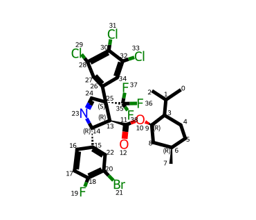 CC(C)C1CC[C@@H](C)C[C@H]1OC(=O)[C@H]1[C@H](c2ccc(F)c(Br)c2)N=C[C@]1(c1cc(Cl)c(Cl)c(Cl)c1)C(F)(F)F